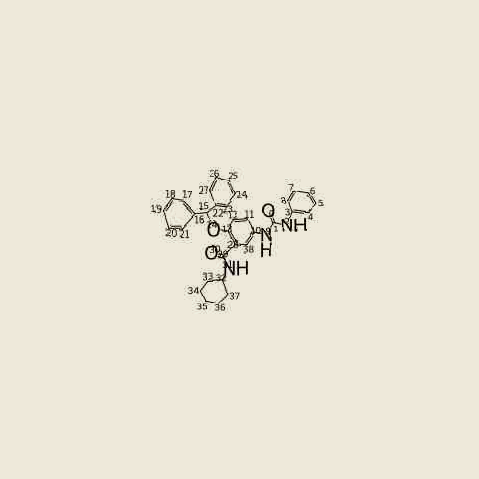 O=C(Nc1ccccc1)Nc1ccc(OC(c2ccccc2)c2ccccc2)c(C(=O)NC2CCCCC2)c1